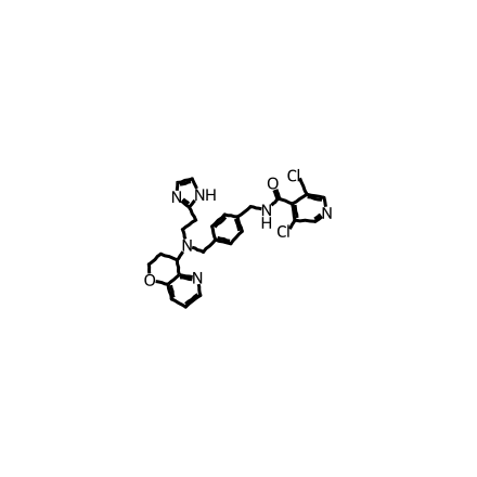 O=C(NCc1ccc(CN(CCc2ncc[nH]2)C2CCOc3cccnc32)cc1)c1c(Cl)cncc1Cl